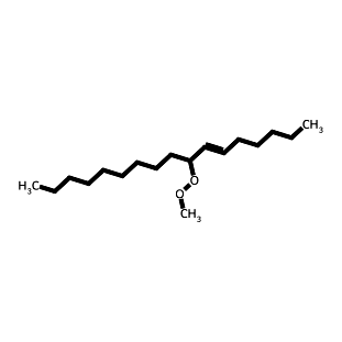 CCCCCC=CC(CCCCCCCCC)OOC